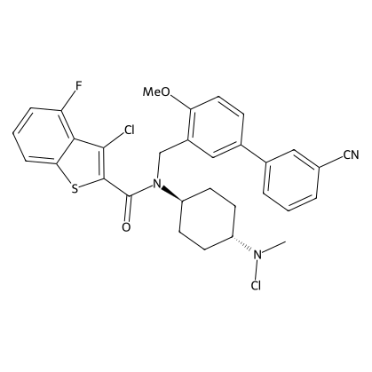 COc1ccc(-c2cccc(C#N)c2)cc1CN(C(=O)c1sc2cccc(F)c2c1Cl)[C@H]1CC[C@H](N(C)Cl)CC1